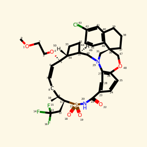 COCCO[C@H]1/C=C\C[C@H](C)[C@H](CC(F)(F)F)S(=O)(=O)NC(=O)c2ccc3c(c2)N(C[C@@H]2CC[C@H]21)C[C@@]1(CCCc2cc(Cl)ccc21)CO3